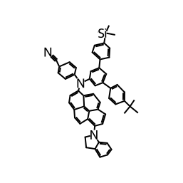 CC(C)(C)c1ccc(-c2cc(-c3ccc([Si](C)(C)C)cc3)cc(N(c3ccc(C#N)cc3)c3ccc4ccc5c(N6CCc7ccccc76)ccc6ccc3c4c65)c2)cc1